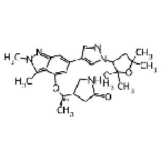 Cc1c2c(O[C@H](C)C3CNC(=O)C3)cc(-c3cnn(C4CC(C)(C)OC4(C)C)c3)cc2nn1C